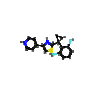 Fc1cccc(F)c1C1(c2nc(-c3ccncc3)cs2)CC1